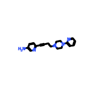 Nc1ccc(C#CCCN2CCN(c3ccccn3)CC2)nc1